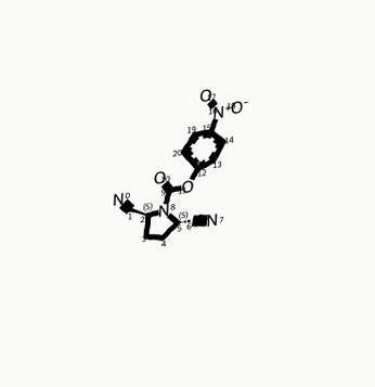 N#C[C@@H]1CC[C@@H](C#N)N1C(=O)Oc1ccc([N+](=O)[O-])cc1